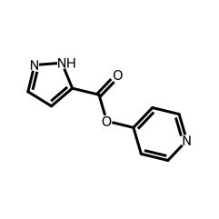 O=C(Oc1ccncc1)c1ccn[nH]1